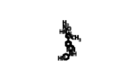 Cn1nc(NC(N)=O)cc1-c1ccc2nc(NC3CCNCC3)ncc2c1